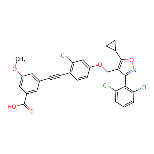 COc1cc(C#Cc2ccc(OCc3c(-c4c(Cl)cccc4Cl)noc3C3CC3)cc2Cl)cc(C(=O)O)c1